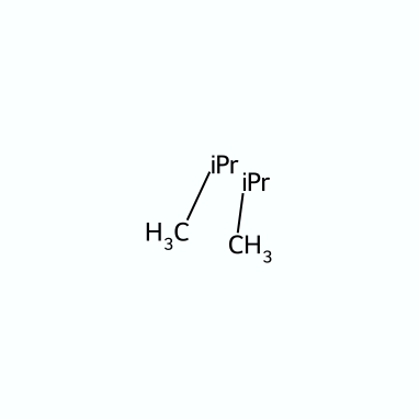 CC(C)C.CC(C)C